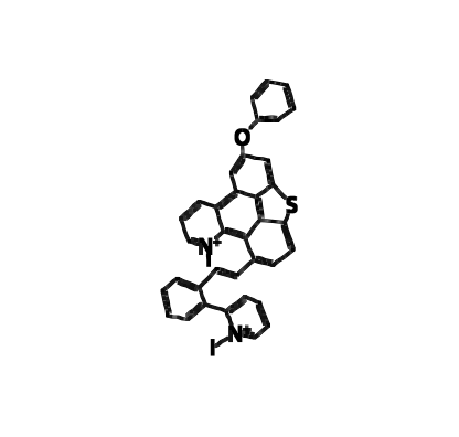 I[n+]1ccccc1-c1ccccc1/C=C/c1ccc2sc3cc(Oc4ccccc4)cc4c5ccc[n+](I)c5c1c2c34